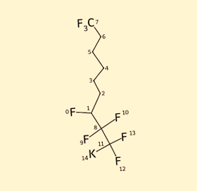 FC(CCCCCC(F)(F)F)C(F)(F)[C](F)(F)[K]